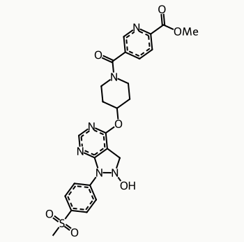 COC(=O)c1ccc(C(=O)N2CCC(Oc3ncnc4c3CN(O)N4c3ccc(S(C)(=O)=O)cc3)CC2)cn1